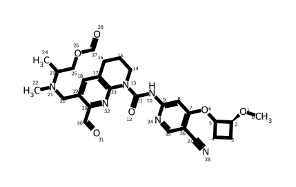 CO[C@H]1CCC1Oc1cc(NC(=O)N2CCCc3cc(CN(C)C(C)COC=O)c(C=O)nc32)ncc1C#N